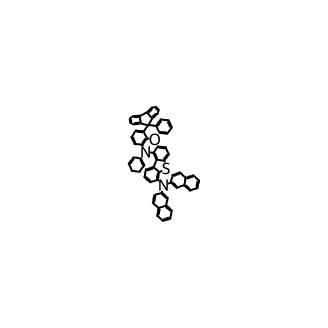 C1=CC(N(c2cccc3c2Oc2ccccc2C32c3ccccc3-c3ccccc32)c2cccc3sc4c(N(c5ccc6ccccc6c5)c5ccc6ccccc6c5)cccc4c23)=CCC1